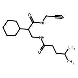 CC(C)CCC(=O)NCC(C(=O)NCC#N)C1CCCCC1